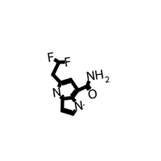 NC(=O)c1cc(CC(F)F)nc2c1[N]C=C2